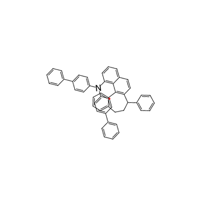 c1ccc(-c2ccc(N(c3ccc(-c4ccccc4)cc3)c3cccc4ccc5c(c34)-c3ccccc3CCC5c3ccccc3)cc2)cc1